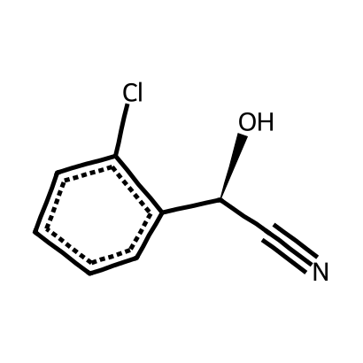 N#C[C@H](O)c1ccccc1Cl